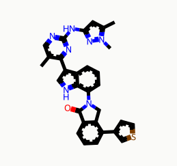 Cc1cnc(Nc2cc(C)n(C)n2)nc1-c1c[nH]c2c(N3Cc4c(cccc4-c4ccsc4)C3=O)cccc12